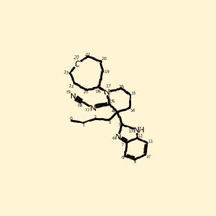 CCCCC1(C2N=C3C=CC=CC3N2)[CH]CCN(C2CCCCCCC2)C1=NC#N